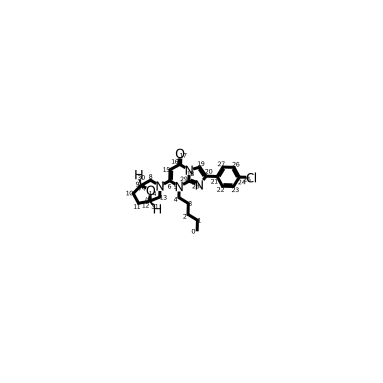 CCCCCn1c(N2C[C@H]3CC[C@@H](C2)O3)cc(=O)n2cc(-c3ccc(Cl)cc3)nc12